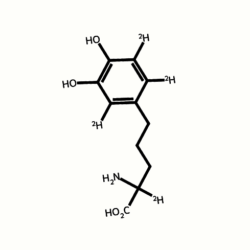 [2H]c1c([2H])c(CCCC([2H])(N)C(=O)O)c([2H])c(O)c1O